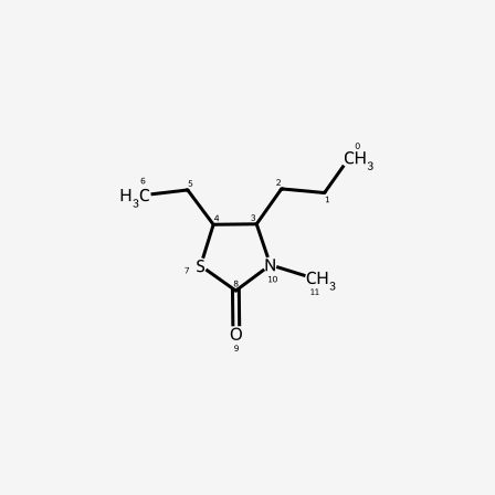 CCCC1C(CC)SC(=O)N1C